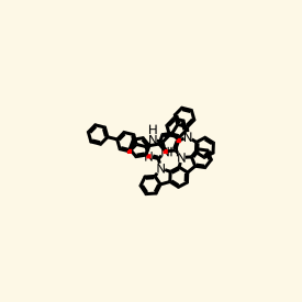 c1ccc(-c2ccc(C3N=C(n4c5ccccc5c5ccc6c7ccccc7n(-c7cc(-c8ccccc8)cc8c9ccccc9n(-c9ccccc9)c78)c6c54)NC(c4ccccc4)N3)cc2)cc1